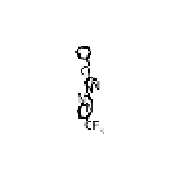 FC(F)(F)c1ccc2nc(-n3cc(OCc4ccccc4)cn3)cn2c1